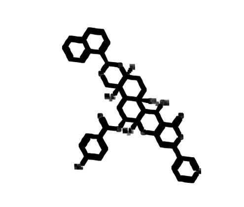 C[C@]12CC[C@@H]3O[C@H](c4cccc5ccccc45)OC[C@@]3(C)C1C[C@H](OC(=O)c1ccc(C#N)cc1)[C@@]1(C)Oc3cc(-c4cccnc4)oc(=O)c3[C@H](O)C21